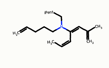 C=CCCCN(CC(C)CCC)C(/C=C\C)=C/C(=C)C